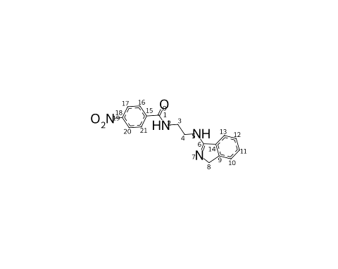 O=C(NCCNC1=NCc2ccccc21)c1ccc([N+](=O)[O-])cc1